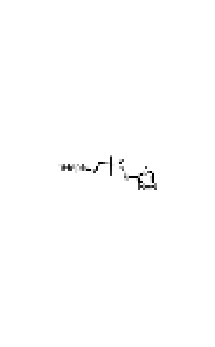 CCCCCCCCCC(C)(C)SSc1nncs1